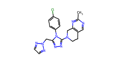 Cc1ncc2c(n1)CN(c1nnc(Cn3nccn3)n1-c1ccc(Cl)cc1)CC2